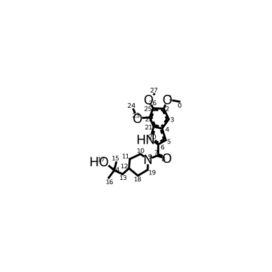 COc1cc2cc(C(=O)N3CCC(CC(C)(C)O)CC3)[nH]c2c(OC)c1OC